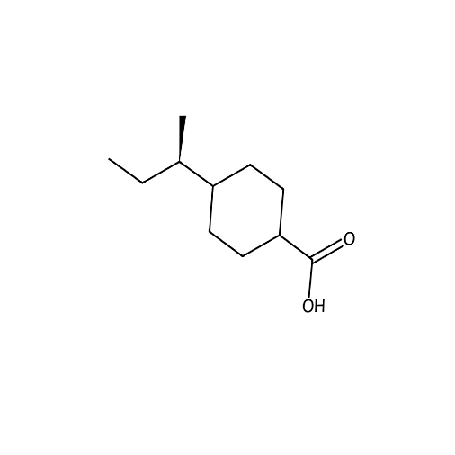 CC[C@@H](C)C1CCC(C(=O)O)CC1